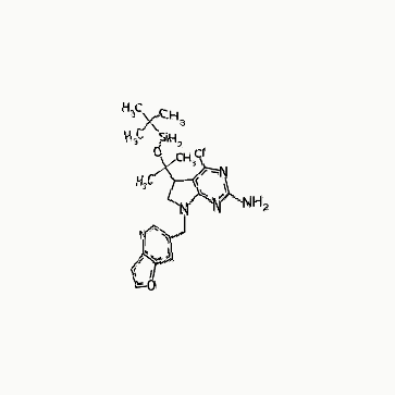 CC(C)(C)[SiH2]OC(C)(C)C1CN(Cc2cnc3ccoc3c2)c2nc(N)nc(Cl)c21